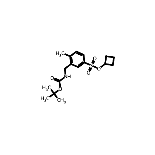 Cc1ccc(S(=O)(=O)OC2CCC2)cc1CNC(=O)OC(C)(C)C